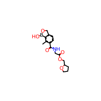 Cc1c(C(=O)NCC(=O)OCC2CCCO2)ccc2c1B(O)OC2